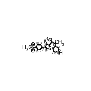 CN(c1ncnc2c(-c3ccc(S(C)(=O)=O)cc3)csc12)C1CCNCC1